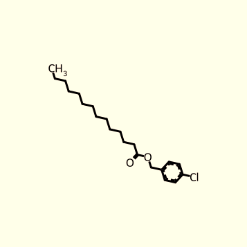 CCCCCCCCCCCCCC(=O)OCc1ccc(Cl)cc1